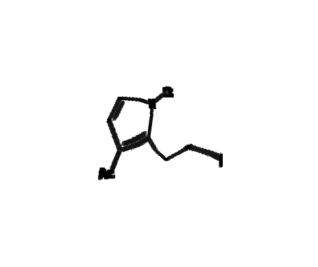 CCn1ccc(C(C)=O)c1CCI